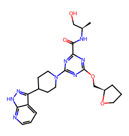 C[C@H](CO)NC(=O)c1nc(OC[C@H]2CCCO2)nc(N2CCC(c3n[nH]c4ncccc34)CC2)n1